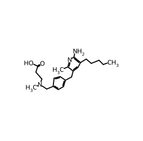 CCCCCc1cc(Cc2ccc(CN(C)CCC(=O)O)cc2)c(C)nc1N